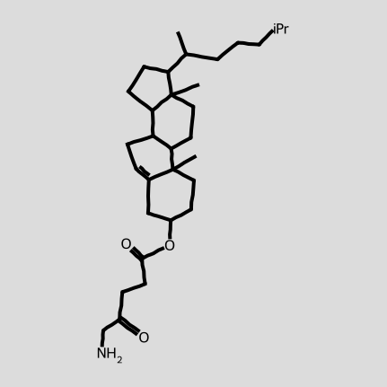 CC(C)CCCC(C)C1CCC2C3CC=C4CC(OC(=O)CCC(=O)CN)CCC4(C)C3CCC12C